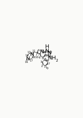 Cc1ccc(-c2cc(C(C)(C)CN3CCN(C)CC3)nc3[nH]nc(N)c23)cc1